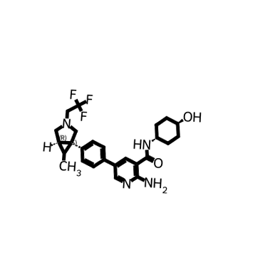 CC1[C@H]2CN(CC(F)(F)F)C[C@@]12c1ccc(-c2cnc(N)c(C(=O)N[C@H]3CC[C@H](O)CC3)c2)cc1